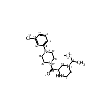 CC(C)N1CCN[C@@H](C(=O)N2CCN(c3cccc(Cl)c3)CC2)C1